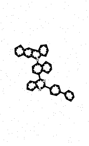 c1ccc(-c2ccc(-c3nc(-c4ccc(-n5c6ccccc6c6cc7ccccc7cc65)c5ccccc45)c4ccccc4n3)cc2)cc1